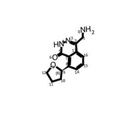 NCc1n[nH]c(=O)c2c([C@H]3CCCO3)cccc12